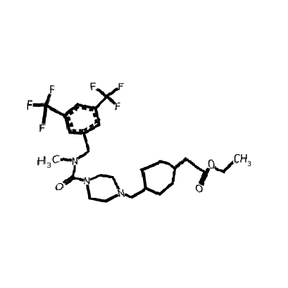 CCOC(=O)CC1CCC(CN2CCN(C(=O)N(C)Cc3cc(C(F)(F)F)cc(C(F)(F)F)c3)CC2)CC1